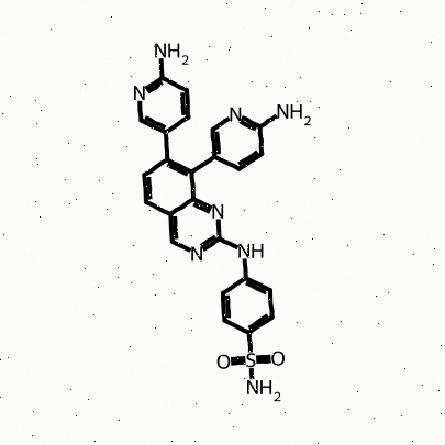 Nc1ccc(-c2ccc3cnc(Nc4ccc(S(N)(=O)=O)cc4)nc3c2-c2ccc(N)nc2)cn1